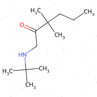 CCCC(C)(C)C(=O)CNC(C)(C)C